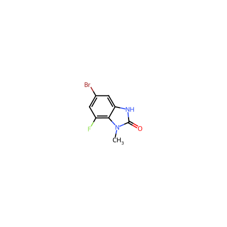 Cn1c(=O)[nH]c2cc(Br)cc(F)c21